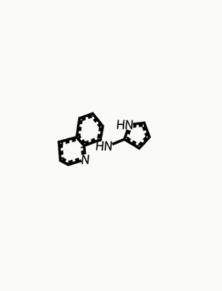 c1c[nH]c(Nc2cccc3cccnc23)c1